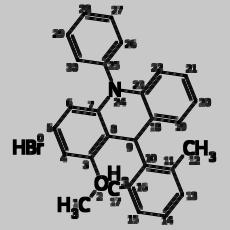 Br.COc1cccc2c1C(c1c(C)cccc1C)c1ccccc1N2c1ccccc1